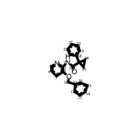 O=C(Nc1ncccc1OCc1ccccc1)C1(c2ccccc2)CC1